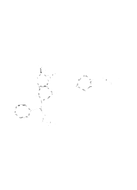 CCOC(=O)C(C)(C)Oc1cccc(OCCn2c(=O)sc3cc(/C(=N/OC)c4ccccc4)ccc32)c1